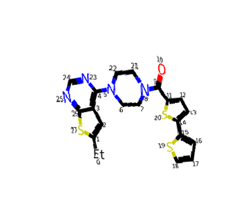 CCc1cc2c(N3CCN(C(=O)c4ccc(-c5cccs5)s4)CC3)ncnc2s1